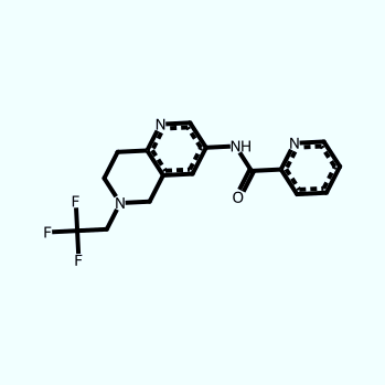 O=C(Nc1cnc2c(c1)CN(CC(F)(F)F)CC2)c1ccccn1